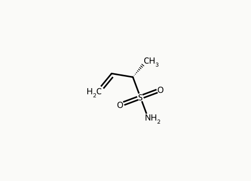 C=C[C@H](C)S(N)(=O)=O